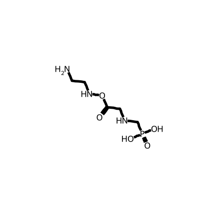 NCCNOC(=O)CNCP(=O)(O)O